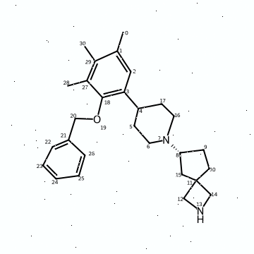 Cc1cc(C2CCN([C@@H]3CCC4(CNC4)C3)CC2)c(OCc2ccccc2)c(C)c1C